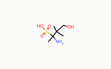 CC(C)(CO)C(C)(N)S(=O)(=O)O